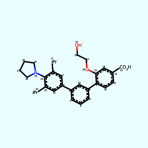 CC(C)c1cc(-c2cccc(-c3ccc(C(=O)O)cc3OCCO)c2)cc(C(C)C)c1N1CCCC1